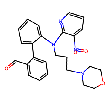 O=Cc1ccccc1-c1ccccc1N(CCCN1CCOCC1)c1ncccc1[N+](=O)[O-]